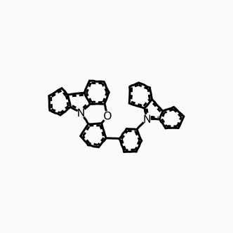 c1cc(-c2cccc3c2Oc2cccc4c5ccccc5n-3c24)cc(-n2c3ccccc3c3ccccc32)c1